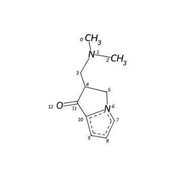 CN(C)CC1Cn2cccc2C1=O